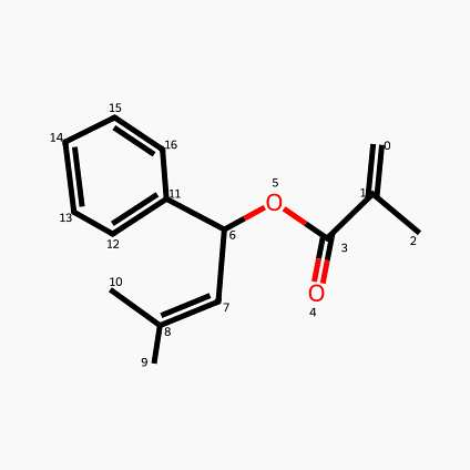 C=C(C)C(=O)OC(C=C(C)C)c1ccccc1